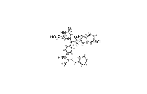 CN(CCc1ccccn1)C(=N)c1ccc(C(N2CC(=O)N[C@@H](C(=O)O)C2)S(=O)(=O)c2cc3cc(Cl)ccc3[nH]2)cc1